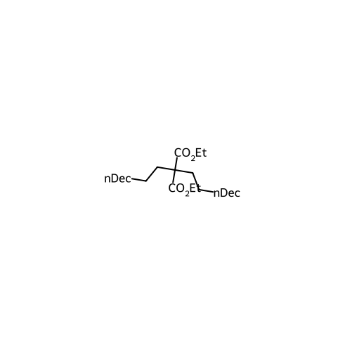 CCCCCCCCCCCCC(CCCCCCCCCCCC)(C(=O)OCC)C(=O)OCC